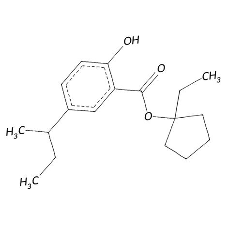 CCC(C)c1ccc(O)c(C(=O)OC2(CC)CCCC2)c1